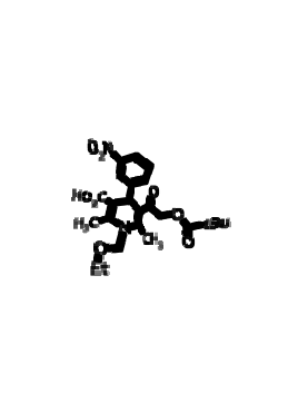 CCOCN1C(C)=C(C(=O)O)C(c2cccc([N+](=O)[O-])c2)C(C(=O)COC(=O)C(C)(C)C)=C1C